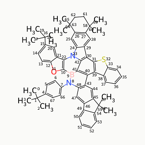 CC(C)(C)c1ccc(N2B3c4oc5ccc(C(C)(C)C)cc5c4-n4c5cc6c(cc5c5c7sc8ccccc8c7c(c3c54)-c3cc4c(cc32)-c2ccccc2C4(C)C)C(C)(C)CCC6(C)C)cc1